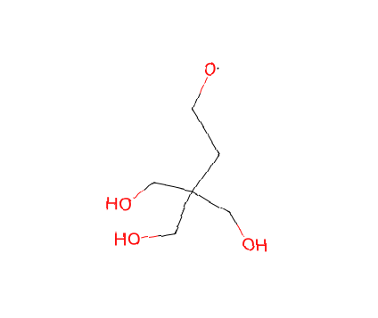 [O]CCC(CO)(CO)CO